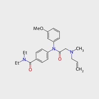 C=CCN(C)CC(=O)N(c1ccc(C(=O)N(CC)CC)cc1)c1cccc(OC)c1